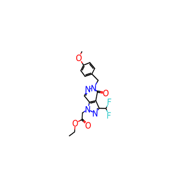 CCOC(=O)Cn1nc(C(F)F)c2c(=O)n(Cc3ccc(OC)cc3)ncc21